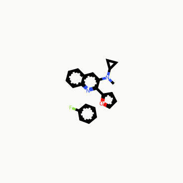 CN(c1cc2ccccc2nc1-c1ccco1)C1CC1.Fc1ccccc1